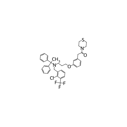 CC(c1ccccc1)(c1ccccc1)N(CCCOc1cccc(CC(=O)N2CCSCC2)c1)Cc1cccc(C(F)(F)F)c1Cl